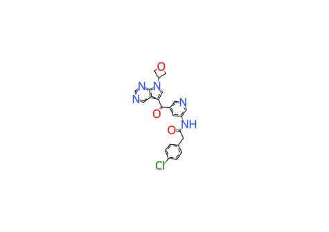 O=C(Cc1ccc(Cl)cc1)Nc1cncc(C(=O)c2cn(C3COC3)c3ncncc23)c1